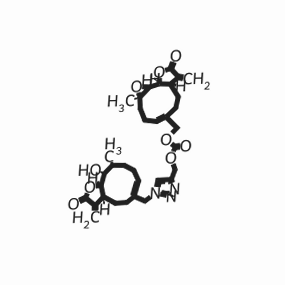 C=C1C(=O)O[C@@H]2[C@H](O)[C@@H](C)CC/C=C(/Cn3cc(COC(=O)OC/C4=C/CC[C@@]5(C)O[C@H]5[C@H]5OC(=O)C(=C)[C@@H]5CC4)nn3)CC[C@@H]12